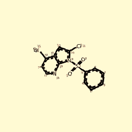 O=S(=O)(c1ccccc1)n1c(Cl)cc2c(Br)ccnc21